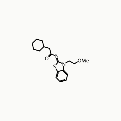 COCCn1/c(=N/C(=O)CC2CCCCC2)sc2ccccc21